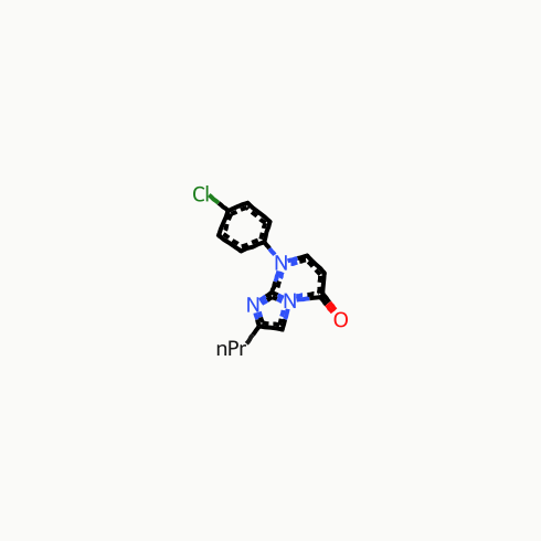 CCCc1cn2c(=O)ccn(-c3ccc(Cl)cc3)c2n1